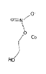 O=[N+]([O-])OCCO.[Co]